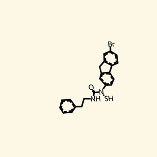 O=C(NCCc1ccccc1)N(S)c1ccc2c(c1)Cc1cc(Br)ccc1-2